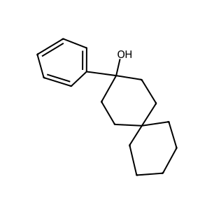 OC1(c2ccccc2)CCC2(CCCCC2)CC1